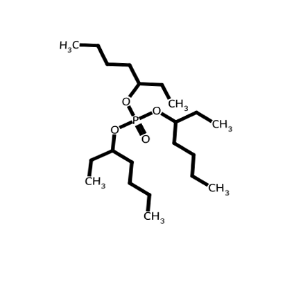 CCCCC(CC)OP(=O)(OC(CC)CCCC)OC(CC)CCCC